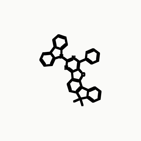 CC1(C)c2ccccc2-c2c1ccc1c2oc2c(-c3ccccc3)nc(-n3c4ccccc4c4ccccc43)nc21